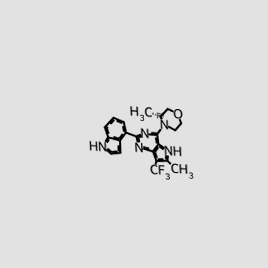 Cc1[nH]c2c(N3CCOC[C@H]3C)nc(-c3cccc4[nH]ccc34)nc2c1C(F)(F)F